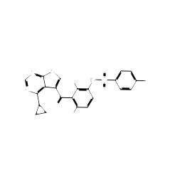 O=C(c1c(F)ccc(NS(=O)(=O)c2ccc(C(F)(F)F)cc2)c1F)c1c[nH]c2ncnc(C3CC3)c12